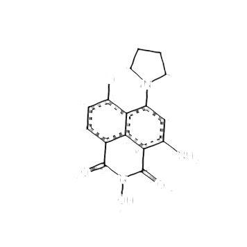 Nc1cc(N2CCCC2)c2c(Cl)ccc3c2c1C(=O)N(O)C3=O